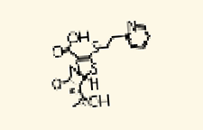 C[C@H](O)[C@@H]1C(=O)N2C(C(=O)O)=C(SCCc3ccccn3)S[C@H]12